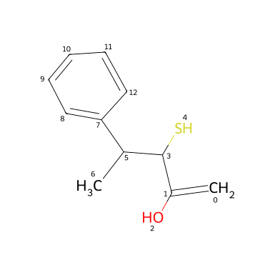 C=C(O)C(S)C(C)c1ccccc1